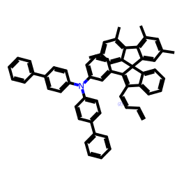 C=C/C=C\C1=C(c2cccc(N(c3ccc(-c4ccccc4)cc3)c3ccc(-c4ccccc4)cc3)c2)C2(c3ccccc31)c1cc(C)cc(C)c1-c1c(C)cc(C)cc12